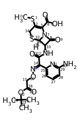 CSC1=C(C(=O)O)N2C(=O)C(NC(=O)/C(=N/OCC(=O)OC(C)(C)C)c3cccc(N)n3)[C@H]2SC1